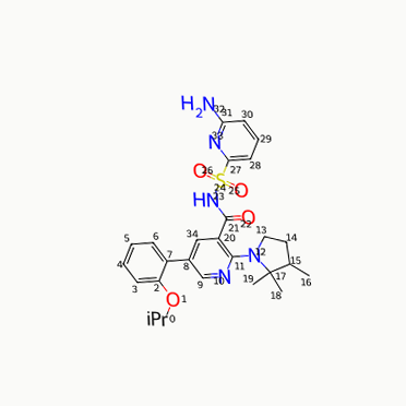 CC(C)Oc1ccccc1-c1cnc(N2CCC(C)C2(C)C)c(C(=O)NS(=O)(=O)c2cccc(N)n2)c1